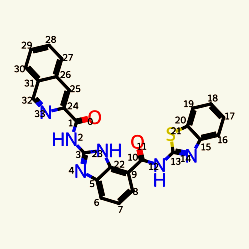 O=C(Nc1nc2cccc(C(=O)Nc3nc4ccccc4s3)c2[nH]1)c1cc2ccccc2cn1